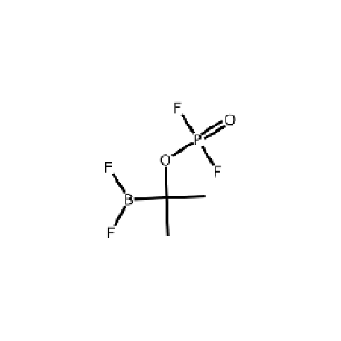 CC(C)(OP(=O)(F)F)B(F)F